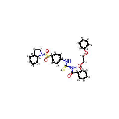 O=C(NC(=S)Nc1ccc(S(=O)(=O)N2CCc3ccccc32)cc1)c1ccccc1OCCOc1ccccc1